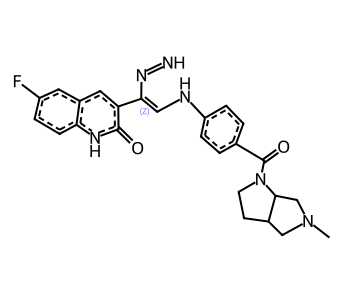 CN1CC2CCN(C(=O)c3ccc(N/C=C(\N=N)c4cc5cc(F)ccc5[nH]c4=O)cc3)C2C1